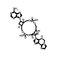 Nc1ncnc2c1ncn2[C@@H]1C[C@@H]2COP(=O)(S)O[C@@H]3[C@H](F)[C@@H](COP(=O)(S)OC[C@H]21)O[C@H]3n1cnc2c1NCn1ccnc1-2